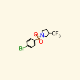 O=S(=O)(c1ccc(Br)cc1)N1CCC(C(F)(F)F)C1